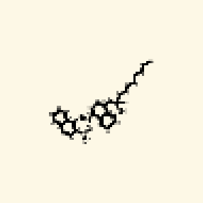 CCCCCCCCC1(C)Cc2ccc(N=Nc3c([N+](=O)[O-])ccc4ccccc34)c3cccc(c23)N1